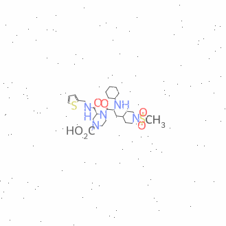 CS(=O)(=O)N1CCC(CC(NC2CCCCC2)C(=O)N2CCN(C(=O)O)C[C@H]2C(=O)NCc2cccs2)CC1